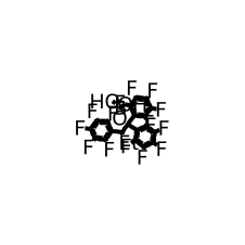 CCC(c1c(F)c(F)c(F)c(F)c1F)C(OB(O)O)(c1c(F)c(F)c(F)c(F)c1F)c1c(F)c(F)c(F)c(F)c1F